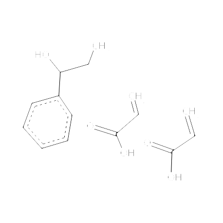 C=CC(=O)O.C=CC(=O)O.CCC(O)c1ccccc1